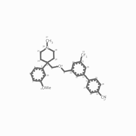 COc1cccc(C2(COCc3cc(-c4ccc(C#N)cc4)cc(C(F)(F)F)c3)CCN(C)CC2)c1